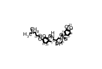 CC(C)CN(C[C@H](O)[C@H](Cc1ccc(OCCCN(C)C)cc1)NC(=O)O)S(=O)(=O)c1ccc2c(c1)OCO2